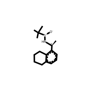 C[C@H](N[S+]([O-])C(C)(C)C)c1cccc2c1CCCC2